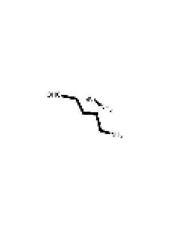 CCCCN.NCCCCC=O